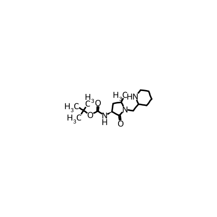 CC1C[C@H](NC(=O)OC(C)(C)C)C(=O)N1CC1CCCCN1